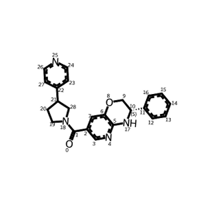 O=C(c1cnc2c(c1)OC[C@H](c1ccccc1)N2)N1CCC(c2ccncc2)C1